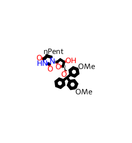 CCCCCc1cn([C@@H]2CC(O)[C@H](COC(c3ccccc3)(c3ccc(OC)cc3)c3ccc(OC)cc3)O2)c(=O)[nH]c1=O